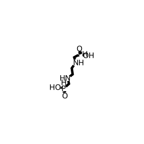 O=[PH](O)CNCCNC[PH](=O)O